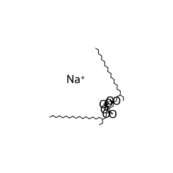 CCCCCCCCCCCCCCCCC(CC)COC(=O)CC(C(=O)OCC(CC)CCCCCCCCCCCCCCCC)S(=O)(=O)[O-].[Na+]